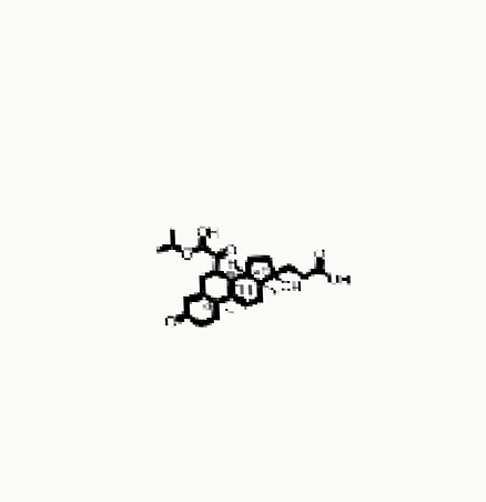 CC(C)OC(O)C(=O)C1CC2=CC(=O)CC[C@]2(C)C2=CC[C@@]3(C)[C@@H](CC[C@]3(O)CCC(=O)O)[C@@H]21